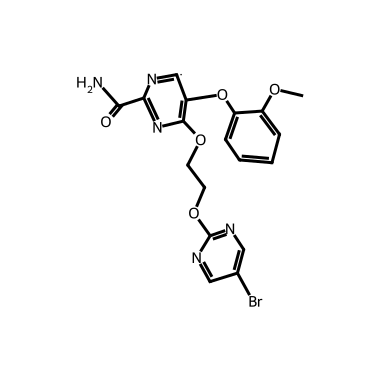 COc1ccccc1Oc1[c]nc(C(N)=O)nc1OCCOc1ncc(Br)cn1